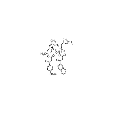 C=CC(C)(CCC=C(C)C)OC(=O)CC(=O)c1ccc(OC)cc1.C=CC(C)CCCC(C)(C)OC(=O)CC(=O)c1ccc2ccccc2c1